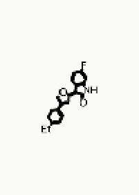 CCc1ccc(C2=C/C(=C3\C(=O)Nc4cc(F)ccc43)OC2)cc1